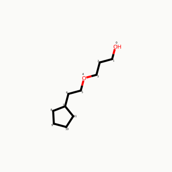 OCCCOCCC1CCCC1